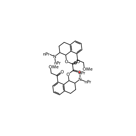 CCCN(CCC)C1CCc2cccc(C(=O)COC)c2C1OC(=O)C(=O)OC1c2c(cccc2C(=O)COC)CCC1N(CCC)CCC